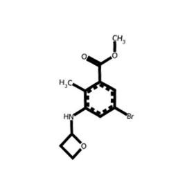 COC(=O)c1cc(Br)cc(NC2CCO2)c1C